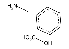 CN.O=C(O)O.c1ccccc1